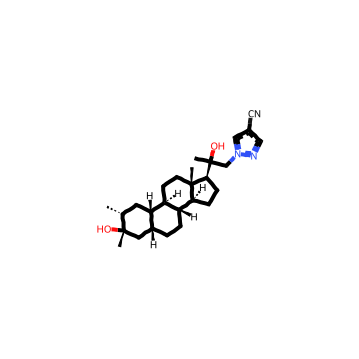 C[C@@H]1C[C@H]2[C@H](CC[C@@H]3[C@@H]2CC[C@]2(C)[C@@H](C(C)(O)Cn4cc(C#N)cn4)CC[C@@H]32)C[C@]1(C)O